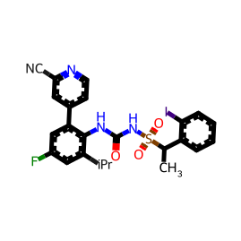 CC(C)c1cc(F)cc(-c2ccnc(C#N)c2)c1NC(=O)NS(=O)(=O)C(C)c1ccccc1I